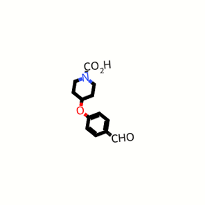 O=Cc1ccc(OC2CCN(C(=O)O)CC2)cc1